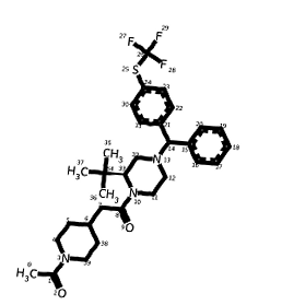 CC(=O)N1CCC(CC(=O)N2CCN(C(c3ccccc3)c3ccc(SC(F)(F)F)cc3)C[C@@H]2C(C)(C)C)CC1